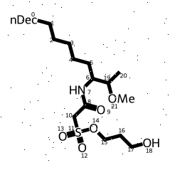 CCCCCCCCCCCCCCCC(NC(=O)CS(=O)(=O)OCCCO)C(C)OC